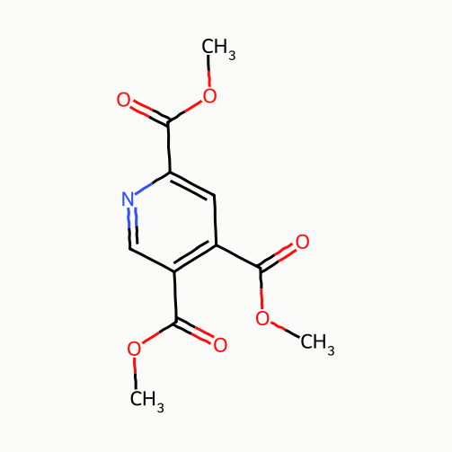 COC(=O)c1cc(C(=O)OC)c(C(=O)OC)cn1